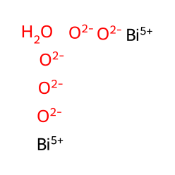 O.[Bi+5].[Bi+5].[O-2].[O-2].[O-2].[O-2].[O-2]